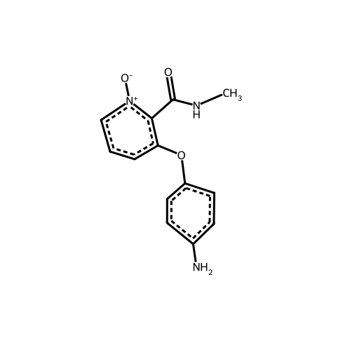 CNC(=O)c1c(Oc2ccc(N)cc2)ccc[n+]1[O-]